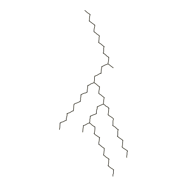 CCCCCCCCCCC(C)CCCC(CCCCCCCCCC)CCCC(CCCCCCCCCC)CCCC(CC)CCCCCCCCCC